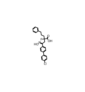 O=C(O)C(F)(CCCc1ccccc1)CC(=NO)c1ccc(-c2ccc(Cl)cc2)cc1